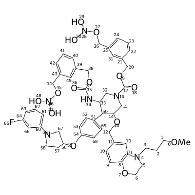 COCCCN1CCOc2ccc(COC3CN(C(=O)OCc4cccc(CON(O)O)c4)CC(NC(=O)OCc4cccc(CON(O)O)c4)C3c3ccc(OC4CCN(c5cccc(F)c5)C4)cc3)cc21